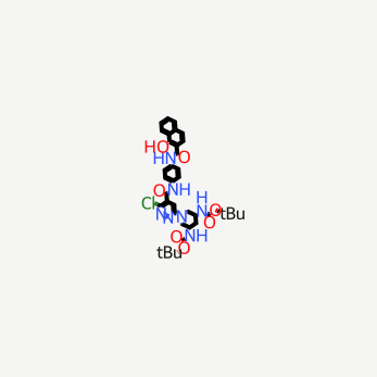 CC(C)(C)OC(=O)N[C@@H]1C[C@H](NC(=O)OC(C)(C)C)CN(c2cc(C(=O)Nc3ccc(NC(=O)c4ccc5ccccc5c4O)cc3)c(Cl)nn2)C1